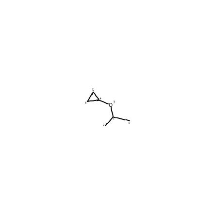 CC(C)OC1CC1